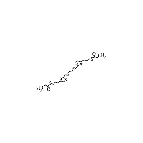 C=CC(=O)SCCCC1CSC(CSCCSCC2SCC(CCCSC(=O)C=C)S2)S1